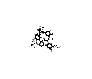 CCOC(=O)[C@H]1CCN(C(=O)[C@H](Nc2cc(C(N)=O)ccc2F)c2ccc(F)c(OC)c2)[C@@H]1c1cc(NC(=O)OC)ccc1S(=O)(=O)CC